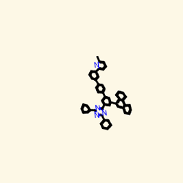 Cc1cccc(-c2cccc(-c3ccc(-c4cc(-c5nc(-c6ccccc6)nc(-c6ccccc6)n5)cc(-c5cc6ccccc6c6ccccc56)c4)cc3)c2)n1